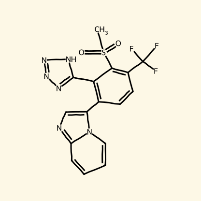 CS(=O)(=O)c1c(C(F)(F)F)ccc(-c2cnc3ccccn23)c1-c1nnn[nH]1